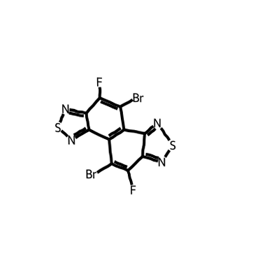 Fc1c(Br)c2c3nsnc3c(F)c(Br)c2c2nsnc12